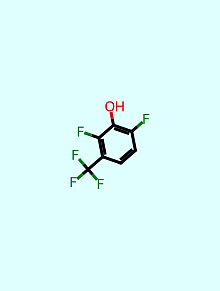 Oc1c(F)ccc(C(F)(F)F)c1F